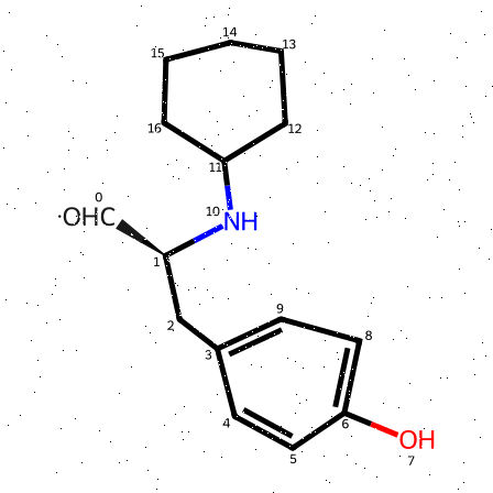 O=[C][C@H](Cc1ccc(O)cc1)NC1CCCCC1